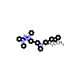 CC1(C)c2ccccc2-c2ccc(-c3ccc(-n4c5ccccc5c5cc(-c6ccc7c(c6)n(-c6ccccc6)c6nc8c9ccccc9n(-c9ccccc9)c8n76)ccc54)cc3)cc21